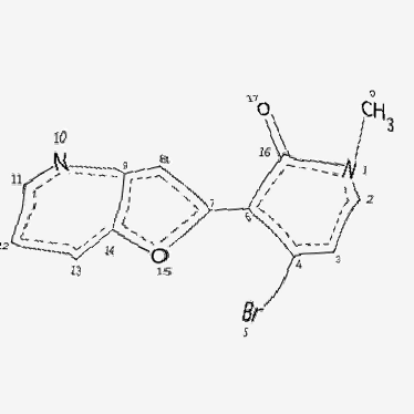 Cn1ccc(Br)c(-c2cc3ncccc3o2)c1=O